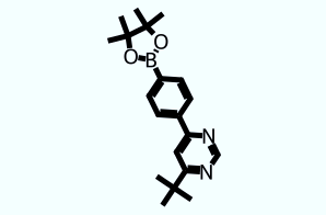 CC(C)(C)c1cc(-c2ccc(B3OC(C)(C)C(C)(C)O3)cc2)ncn1